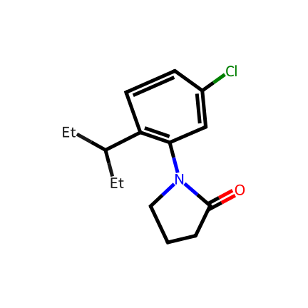 CCC(CC)c1ccc(Cl)cc1N1CCCC1=O